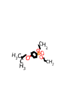 C=CCOP(=O)(OCC=C)c1ccc(OCC(C)C)cc1